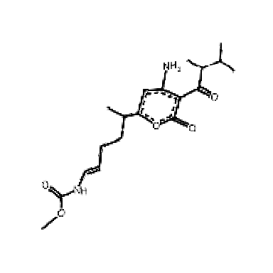 COC(=O)N/C=C/CCC(C)c1cc(N)c(C(=O)C(C)C(C)C)c(=O)o1